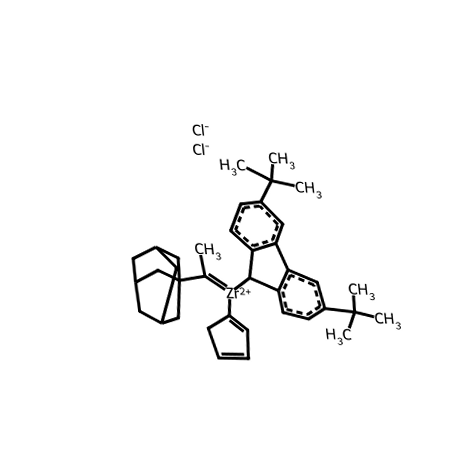 C/[C](=[Zr+2](/[C]1=CC=CC1)[CH]1c2ccc(C(C)(C)C)cc2-c2cc(C(C)(C)C)ccc21)C12CC3CC(CC(C3)C1)C2.[Cl-].[Cl-]